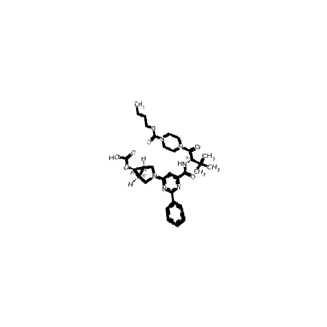 CCCCOC(=O)N1CCN(C(=O)[C@@H](NC(=O)c2cc(N3C[C@@H]4[C@H](C3)[C@@H]4OC(=O)O)nc(-c3ccccc3)n2)C(C)(C)C)CC1